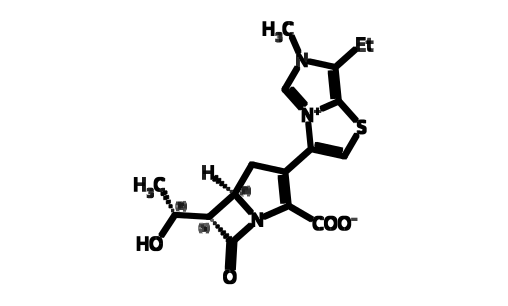 CCc1c2scc(C3=C(C(=O)[O-])N4C(=O)[C@H]([C@@H](C)O)[C@H]4C3)[n+]2cn1C